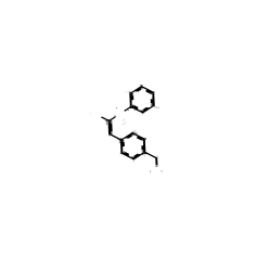 CC(=O)C(=Cc1ccc(CO)cc1)S(=O)(=O)c1ccccc1